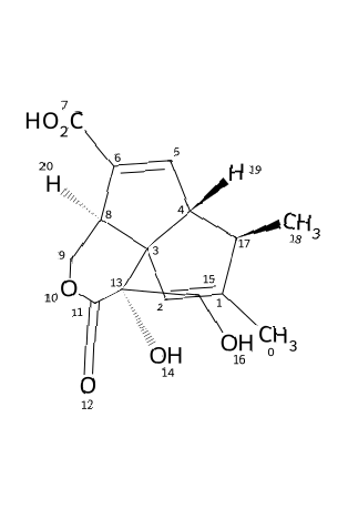 CC1=CC23[C@H](C=C(C(=O)O)[C@@H]2COC(=O)[C@]3(O)CO)[C@H]1C